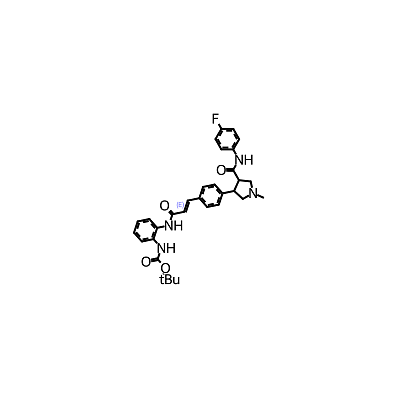 CN1CC(C(=O)Nc2ccc(F)cc2)C(c2ccc(/C=C/C(=O)Nc3ccccc3NC(=O)OC(C)(C)C)cc2)C1